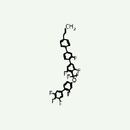 C=CCCc1ccc(-c2ccc(-c3cc(F)c(C(F)(F)Oc4ccc(-c5cc(F)c(F)c(F)c5)c(F)c4)c(F)c3)c(F)c2)cc1